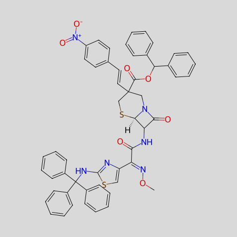 CON=C(C(=O)NC1C(=O)N2CC(C=Cc3ccc([N+](=O)[O-])cc3)(C(=O)OC(c3ccccc3)c3ccccc3)CS[C@H]12)c1csc(NC(c2ccccc2)(c2ccccc2)c2ccccc2)n1